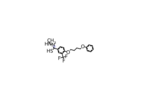 CN/N=C(\S)c1ccc(OCCCCOc2ccccc2)c(C(F)(F)F)c1